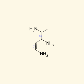 C/C(N)=C(N)/C=C\N